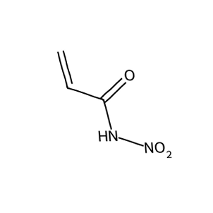 C=CC(=O)N[N+](=O)[O-]